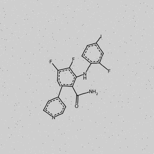 NC(=O)c1c(-c2ccncc2)cc(F)c(F)c1Nc1ccc(I)cc1F